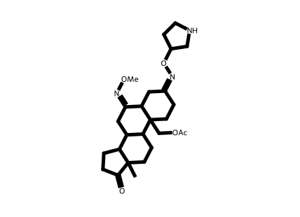 CO/N=C1/CC2C3CCC(=O)C3(C)CCC2C2(COC(C)=O)CC/C(=N/OC3CCNC3)CC12